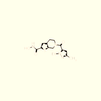 CCn1nc(C)cc1C(=O)N1CCc2cc(C(=O)NO)sc2C1